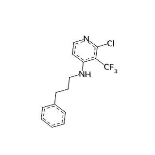 FC(F)(F)c1c(NCCCc2ccccc2)ccnc1Cl